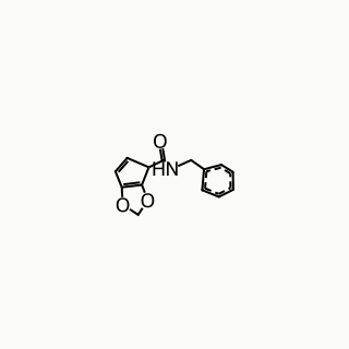 O=C(NCc1ccccc1)C1C=CC2=C1OCO2